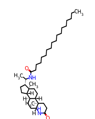 CCCCCCCCCCCCCCCCCC(=O)NC(C)[C@H]1CC[C@H]2[C@@H]3CC[C@H]4NC(=O)CC[C@]4(C)[C@H]3CC[C@]12C